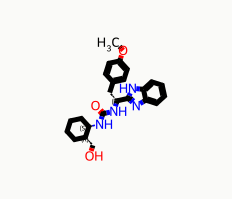 COc1ccc(C[C@@H](NC(=O)N[C@H]2CCCC[C@H]2CO)c2nc3ccccc3[nH]2)cc1